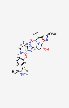 COc1cc([C@H](C(=O)N2C[C@H](O)C[C@H]2c2nc(C(=O)N(Cc3ccc(-c4scnc4C)cc3)CC3CC3)c[nH]2)C(C)C)on1